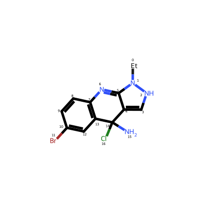 CCN1NC=C2C1=Nc1ccc(Br)cc1C2(N)Cl